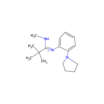 CN/C(=N\c1ccccc1N1CCCC1)C(C)(C)C